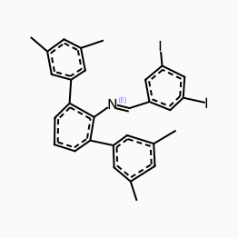 Cc1cc(C)cc(-c2cccc(-c3cc(C)cc(C)c3)c2/N=C/c2cc(I)cc(I)c2)c1